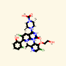 CC(C)c1ncc(Cl)c(OCCO)c1-n1c(=O)nc(N2C[C@@H](C)N(C(=O)O)C[C@@H]2C)c2cc(F)c(-c3c(O)cccc3F)nc21